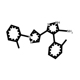 Cc1ccccc1-c1c(-c2cnn(-c3ccccc3C)c2)n[nH]c1N